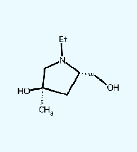 CCN1C[C@](C)(O)C[C@H]1CO